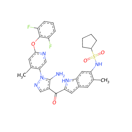 Cc1cc2cc(C(=O)c3cnn(-c4cnc(Oc5c(F)cccc5F)cc4C)c3N)[nH]c2cc1NS(=O)(=O)C1CCCC1